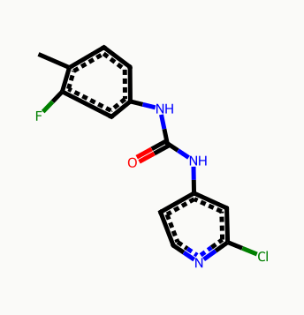 Cc1ccc(NC(=O)Nc2ccnc(Cl)c2)cc1F